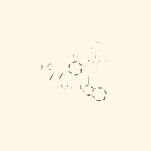 CCCC1(N2CCCCC2)c2ccccc2C(c2noc3cc(F)ccc23)CN1O.O=C(O)C=CC(=O)O.O=C(O)C=CC(=O)O